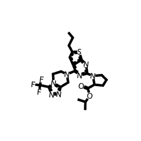 CCCc1cc2c(N3CCn4c(nnc4C(F)(F)F)C3)nc(N3CCCC3C(=O)OC(C)C)nc2s1